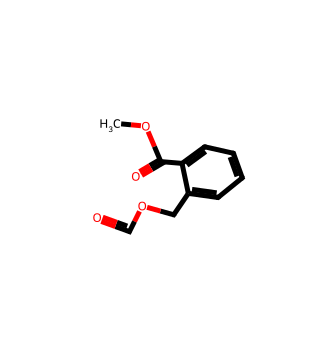 COC(=O)c1ccccc1COC=O